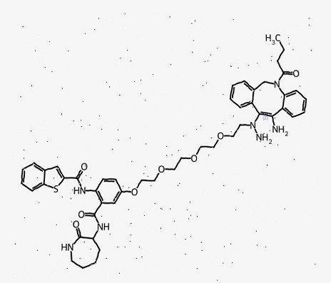 CCCC(=O)N1Cc2ccccc2/C(N(N)CCOCCOCCOCCOc2ccc(NC(=O)c3cc4ccccc4s3)c(C(=O)NC3CCCCNC3=O)c2)=C(/N)c2ccccc21